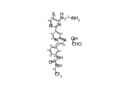 NCCNc1nc(-c2ccn3c(-c4cccc(NC(=O)NCC(F)(F)F)c4)cnc3c2)ncc1F.O=CO